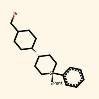 CCCCC[Si@]1(c2ccccc2)CC[C@@H](C2CCC(CBr)CC2)CC1